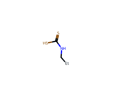 CCCNC(=S)S